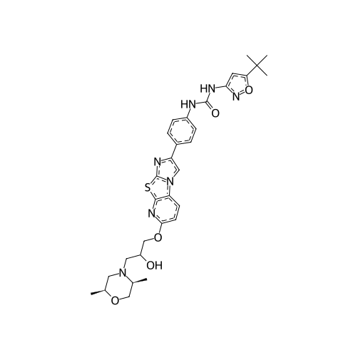 C[C@H]1CN(CC(O)COc2ccc3c(n2)sc2nc(-c4ccc(NC(=O)Nc5cc(C(C)(C)C)on5)cc4)cn23)[C@@H](C)CO1